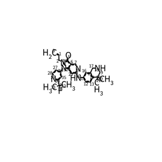 C=CCn1c(=O)c2cnc(Nc3ccc4c(c3)CNCC4(C)C)cc2n1-c1ccnc(C(C)(C)F)c1